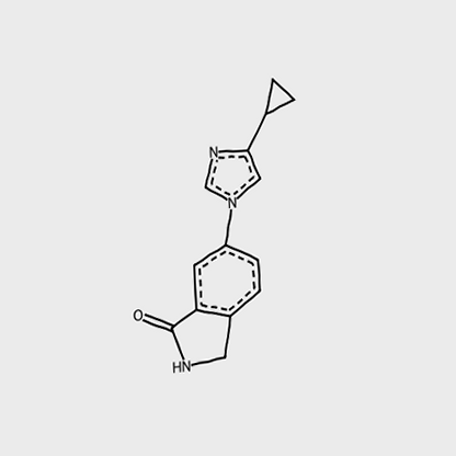 O=C1NCc2ccc(-n3cnc(C4CC4)c3)cc21